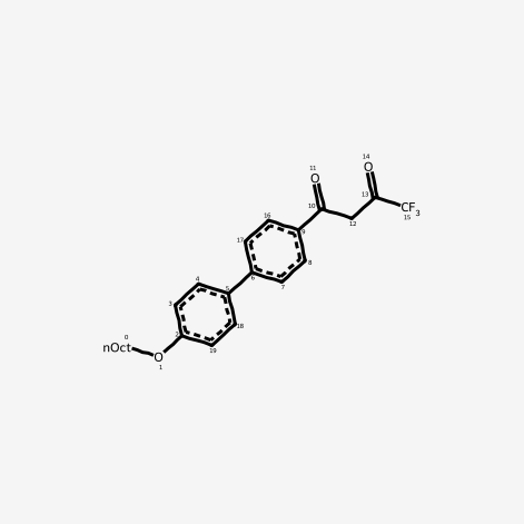 CCCCCCCCOc1ccc(-c2ccc(C(=O)CC(=O)C(F)(F)F)cc2)cc1